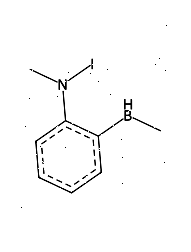 CBc1ccccc1N(C)I